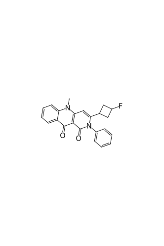 Cn1c2ccccc2c(=O)c2c(=O)n(-c3ccccc3)c(C3CC(F)C3)cc21